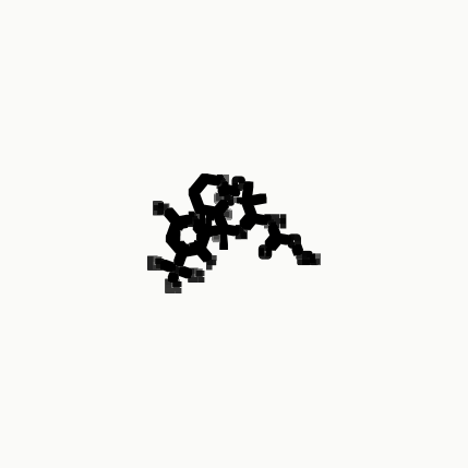 CC[Si](CC)(CC)c1cc(Br)nc([C@@]2(C)N=C(NC(=O)OC(C)(C)C)C(C)(C)[S@@]3(=O)=NCCC[C@H]23)c1F